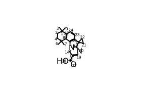 CC1(C)CCC(C)(C)c2cc(C3(c4ncc(C(=O)O)cn4)CC3)ccc21